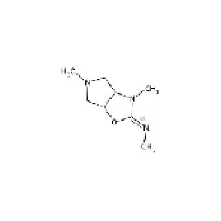 C/N=C1\OC2CN(C)CC2N1C